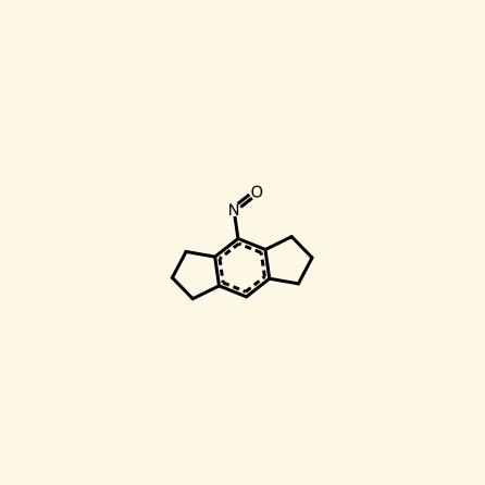 O=Nc1c2c(cc3c1CCC3)CCC2